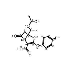 CC(=O)O[C@H](C)[C@@]12CC(=O)N1C(C(=O)O)=C(Oc1ccc(F)cc1)S2